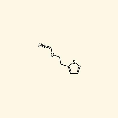 N=COCCc1cccs1